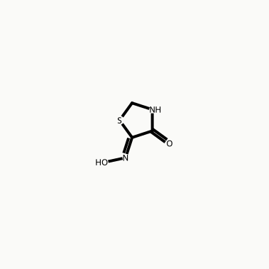 O=C1NCSC1=NO